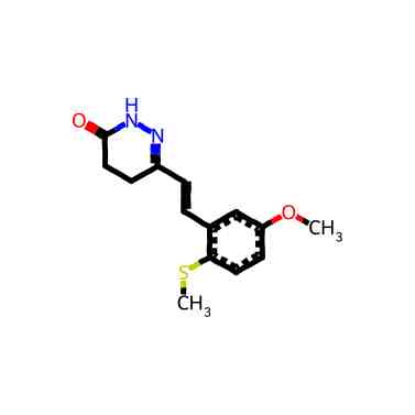 COc1ccc(SC)c(C=CC2=NNC(=O)CC2)c1